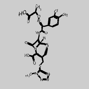 CC(ON=C(C(=O)NC1C(=O)N2C(C(=O)O)=C(CSc3nnnn3C)CS[C@@H]12)c1ccc(O)c(Cl)c1)C(=O)O